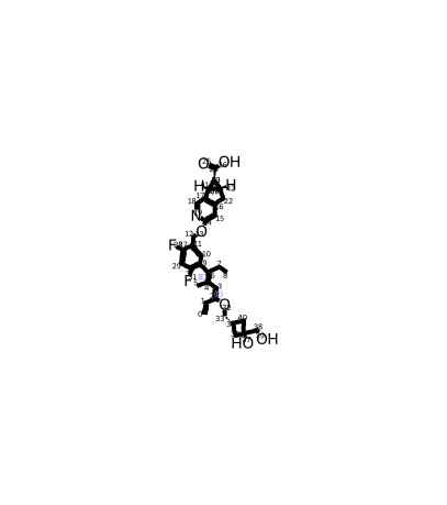 C=C/C(=C\C(C)=C(/CC)c1cc(COc2cc3c(cn2)[C@H]2[C@@H](C3)[C@@H]2C(=O)O)c(F)cc1F)OC[C@H]1C[C@@](O)(CO)C1